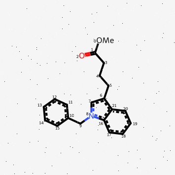 COC(=O)CCCc1cn(Cc2ccccc2)c2ccccc12